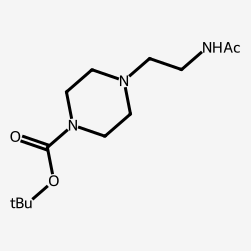 CC(=O)NCCN1CCN(C(=O)OC(C)(C)C)CC1